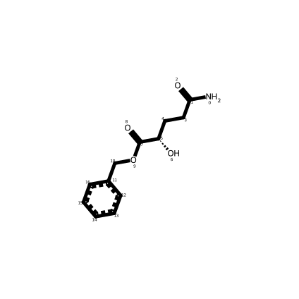 NC(=O)CC[C@H](O)C(=O)OCc1ccccc1